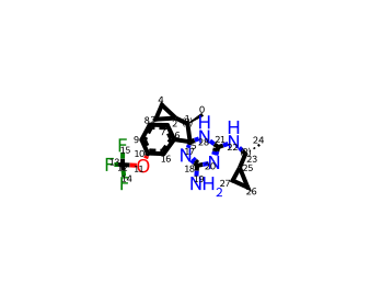 C[C@H](C1CC1)C1(c2cccc(OC(F)(F)F)c2)N=C(N)N=C(N[C@H](C)C2CC2)N1